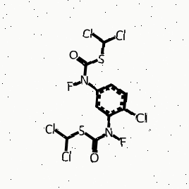 O=C(SC(Cl)Cl)N(F)c1ccc(Cl)c(N(F)C(=O)SC(Cl)Cl)c1